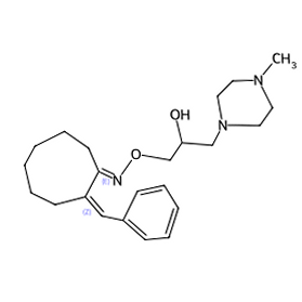 CN1CCN(CC(O)CO/N=C2\CCCCCC\C2=C\c2ccccc2)CC1